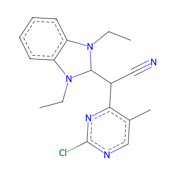 CCN1c2ccccc2N(CC)C1C(C#N)c1nc(Cl)ncc1C